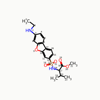 CCNc1ccc2c(c1)oc1cc(S(=O)(=O)NC(C(=O)OC)C(C)C)ccc12